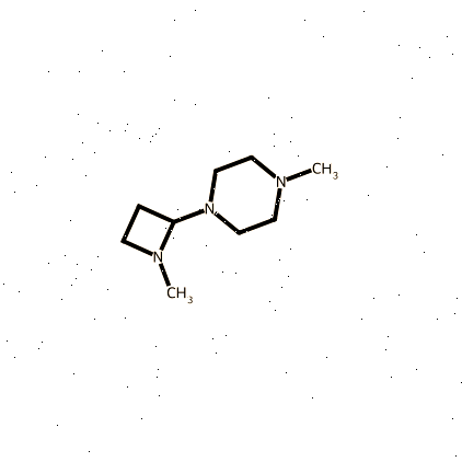 CN1CCN(C2CCN2C)CC1